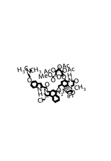 COC(=O)[C@H]1O[C@@H](Oc2cc(COc3cc4c(c5ccccc35)[C@H](CCl)CN4C(=O)c3cc4cc(OCCN(C)C)ccc4[nH]3)ccc2NC(=O)C(C)NC(=O)C(N)C(C)C)[C@H](OC(C)=O)[C@@H](OC(C)=O)[C@@H]1OC(C)=O